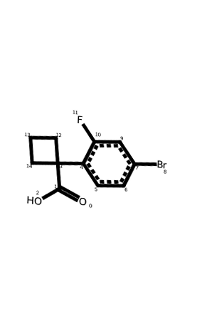 O=C(O)C1(c2ccc(Br)cc2F)CCC1